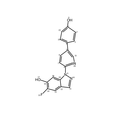 Oc1ccc(-c2ccc(-n3ncc4cc(F)c(O)cc43)nc2)cc1